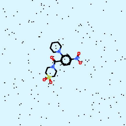 O=C(c1ccc([N+](=O)[O-])cc1N1CCCCC1)N1CCS(=O)(=O)CC1